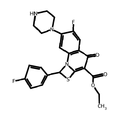 CCOC(=O)c1c2n(c3cc(N4CCNCC4)c(F)cc3c1=O)C(c1ccc(F)cc1)S2